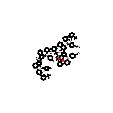 CC(C)(C)c1cccc2c1oc1c(N(c3ccc(F)cc3)c3cc4c5cc(N(c6ccc(F)cc6)c6cccc7c6oc6c(C(C)(C)CCC(C)(C)c8cccc9c8oc8c(N(c%10ccc(C#N)cc%10)c%10cc%11c%12cc(N(c%13ccc(C#N)cc%13)c%13cccc%14c%13oc%13c(C(C)(C)C)cccc%13%14)c%13ccccc%13c%12oc%11c%11ccccc%10%11)cccc89)cccc67)c6ccccc6c5oc4c4ccccc34)cccc12